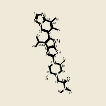 Cc1c(-c2[nH]c3sc(N4C[C@@H](C)N(CC(=O)N(C)C)C[C@@H]4C)nc3c2C(C)C)cn2ncnc2c1C